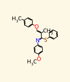 COc1ccc(N=C(Sc2ccccc2)C(C)=COc2ccc(C)cc2)cc1